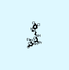 CCOC1OC(=O)CC1NC(=O)C(CC(=O)NCCn1cnc2cc(Cl)c(Cl)cc21)C(C)C